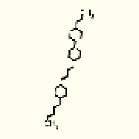 CC=CCC[C@H]1CC[C@H](C=CCC[C@H]2CC[C@H]([C@H]3CC[C@H](CCC)CC3)CC2)CC1